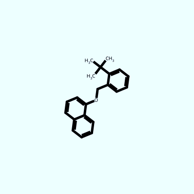 CC(C)(C)c1ccccc1COc1cccc2ccccc12